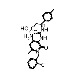 Cc1ccc([C@H](CC(=O)O)NC(=O)Nc2c(N)cc(C)n(Cc3ccccc3Cl)c2=O)cc1